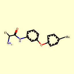 CCCCc1ccc(Oc2cccc(NC(=O)C(N)CC)c2)cc1